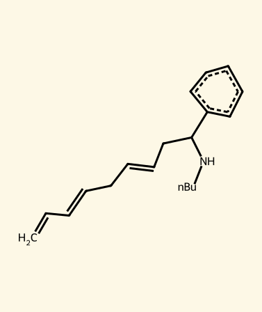 C=C/C=C/C/C=C/CC(NCCCC)c1ccccc1